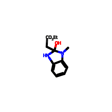 CCOC(=O)CC1(O)Nc2ccccc2N1C